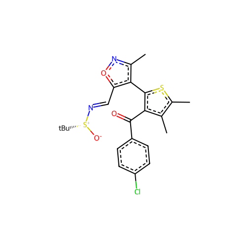 Cc1noc(C=N[S@+]([O-])C(C)(C)C)c1-c1sc(C)c(C)c1C(=O)c1ccc(Cl)cc1